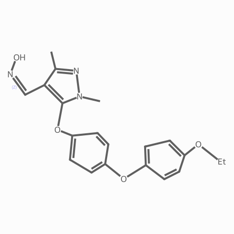 CCOc1ccc(Oc2ccc(Oc3c(/C=N\O)c(C)nn3C)cc2)cc1